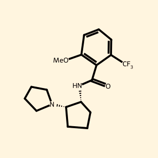 COc1cccc(C(F)(F)F)c1C(=O)N[C@@H]1CCC[C@@H]1N1CCCC1